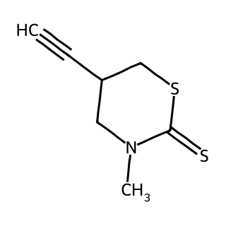 C#CC1CSC(=S)N(C)C1